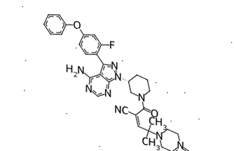 CC(C)(/C=C(/C#N)C(=O)N1CCC[C@@H](n2nc(-c3ccc(Oc4ccccc4)cc3F)c3c(N)ncnc32)C1)N1CCn2ccnc2C1